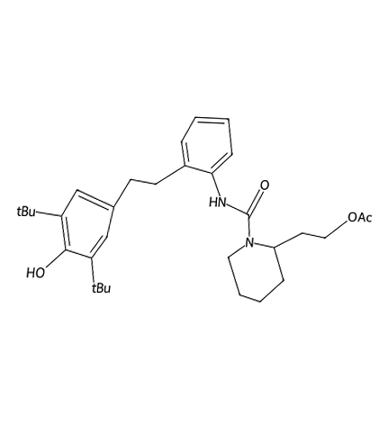 CC(=O)OCCC1CCCCN1C(=O)Nc1ccccc1CCc1cc(C(C)(C)C)c(O)c(C(C)(C)C)c1